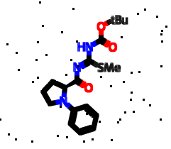 CS/C(=N\C(=O)[C@@H]1CCCN1c1ccccc1)NC(=O)OC(C)(C)C